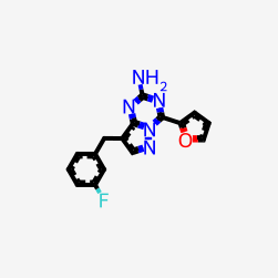 Nc1nc(-c2ccco2)n2ncc(Cc3cccc(F)c3)c2n1